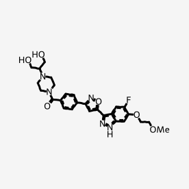 COCCOc1cc2[nH]nc(-c3cc(-c4ccc(C(=O)N5CCN(C(CO)CO)CC5)cc4)no3)c2cc1F